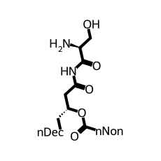 CCCCCCCCCCC[C@H](CC(=O)NC(=O)[C@@H](N)CO)OC(=O)CCCCCCCCC